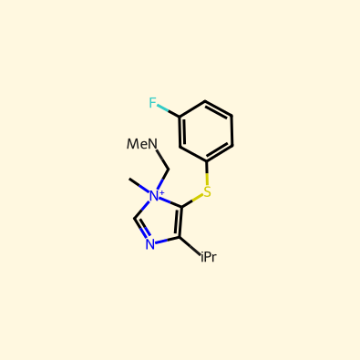 CNC[N+]1(C)C=NC(C(C)C)=C1Sc1cccc(F)c1